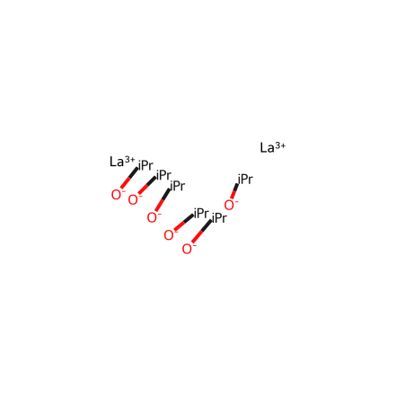 CC(C)[O-].CC(C)[O-].CC(C)[O-].CC(C)[O-].CC(C)[O-].CC(C)[O-].[La+3].[La+3]